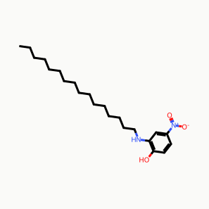 CCCCCCCCCCCCCCCCNc1cc([N+](=O)[O-])ccc1O